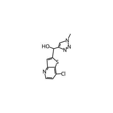 Cn1cc(C(O)c2cc3nccc(Cl)c3s2)nn1